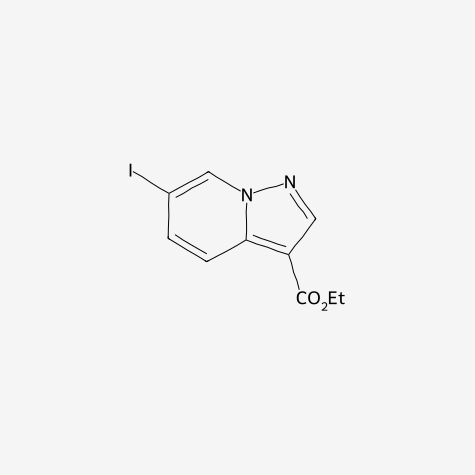 CCOC(=O)c1cnn2cc(I)ccc12